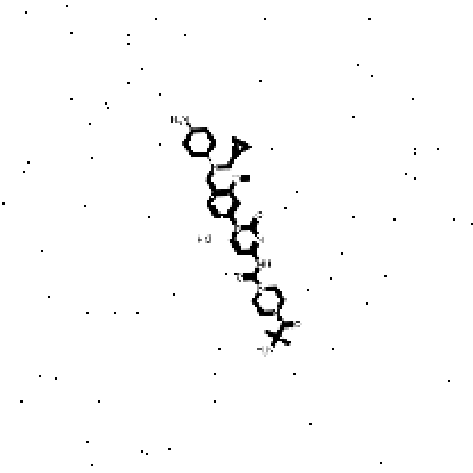 COc1cc(-n2ccc(NC(=O)N3CCN(C(=O)C(C)(C)N)CC3)nc2=O)ccc1CN(CC1CC1)[C@H]1CC[C@H](N)CC1.Cl